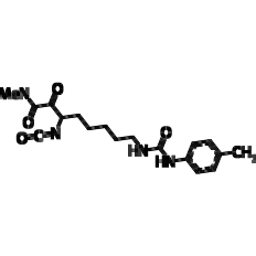 CNC(=O)C(=O)C(CCCCCNC(=O)Nc1ccc(C)cc1)N=C=O